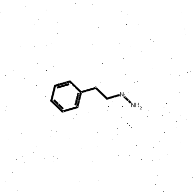 N[N]C[CH]c1ccccc1